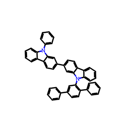 c1ccc(-c2ccc(-c3ccccc3)c(-n3c4ccccc4c4ccc(-c5ccc6c7ccccc7n(-c7ccccc7)c6c5)cc43)c2)cc1